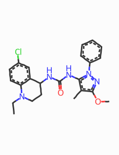 CCN1CCC(NC(=O)Nc2c(C)c(OC)nn2-c2ccccc2)c2cc(Cl)ccc21